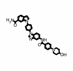 NC(=O)c1ccc2ccn(-c3ccc(-n4cnc5cc(NC(=O)c6ccc(N7CCC(O)CC7)cc6)ccc54)cc3)c2c1